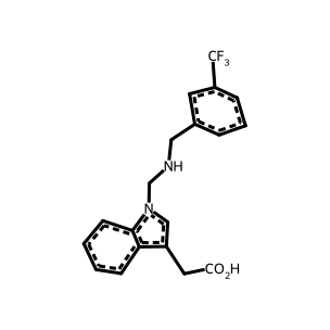 O=C(O)Cc1cn(CNCc2cccc(C(F)(F)F)c2)c2ccccc12